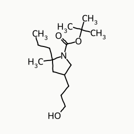 CCCC1(C)CC(CCCO)CN1C(=O)OC(C)(C)C